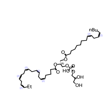 CC/C=C\C/C=C\C/C=C\C/C=C\C/C=C\CCCC(=O)O[C@H](COC(=O)CCCCCCC/C=C\C/C=C\CCCC)COP(=O)(O)OC[C@@H](O)CO